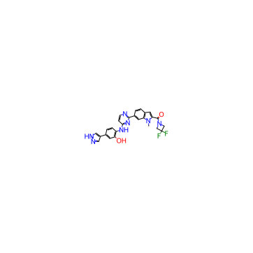 Cn1c(C(=O)N2CC(F)(F)C2)cc2ccc(-c3nccc(Nc4ccc(-c5cn[nH]c5)cc4O)n3)cc21